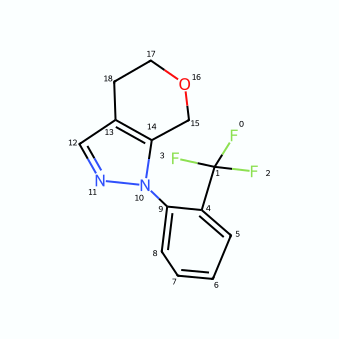 FC(F)(F)c1ccccc1-n1ncc2c1COCC2